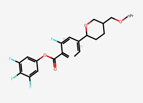 C=C(C(=O)Oc1cc(F)c(F)c(F)c1)/C(F)=C\C(=C/C)C1CCC(COCCC)CO1